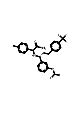 Cc1ccc(C(N[C@H](CCc2ccc(C(F)(F)F)cc2)c2cccc(OC(F)F)c2)C(N)=O)cc1